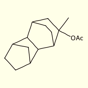 CC(=O)OC1(C)CC2CCC1C1C3CCC(C3)C21